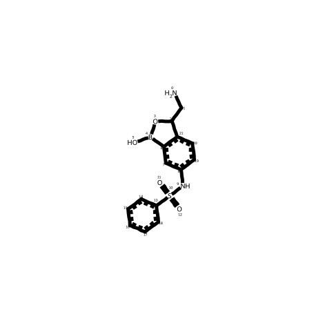 NCC1OB(O)c2cc(NS(=O)(=O)c3ccccc3)ccc21